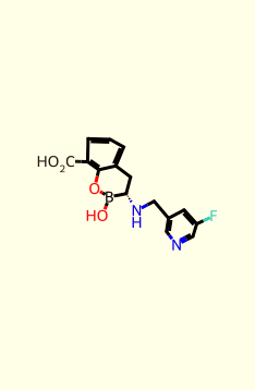 O=C(O)c1cccc2c1OB(O)[C@@H](NCc1cncc(F)c1)C2